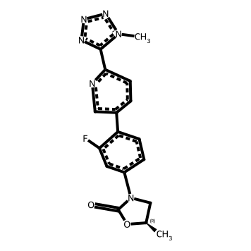 C[C@@H]1CN(c2ccc(-c3ccc(-c4nnnn4C)nc3)c(F)c2)C(=O)O1